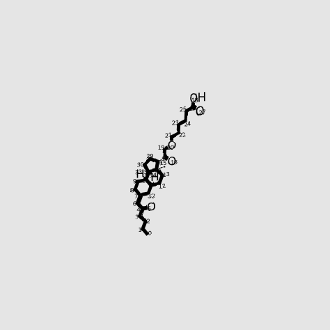 CCCCC(=O)/C=C1/CC[C@@H]2C(CC[C@]3(C)[C@@H](C(=O)COCCCCCC(=O)O)CC[C@@H]23)C1